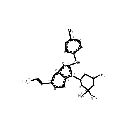 CC1CC(n2c(Nc3ccc(C(F)(F)F)cc3)nc3cc(C=CC(=O)O)ccc32)CC(C)(C)C1